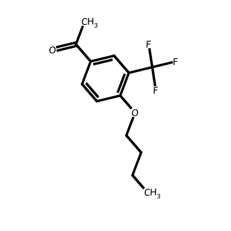 CCCCOc1ccc(C(C)=O)cc1C(F)(F)F